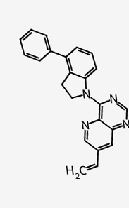 C=Cc1cnc2c(N3CCc4c(-c5ccccc5)cccc43)ncnc2c1